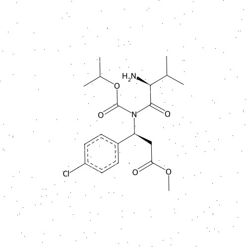 COC(=O)C[C@@H](c1ccc(Cl)cc1)N(C(=O)OC(C)C)C(=O)[C@@H](N)C(C)C